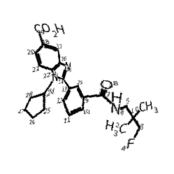 CC(C)(CF)CNC(=O)c1cccc(-c2nc3cc(C(=O)O)ccc3n2C2CCCC2)c1